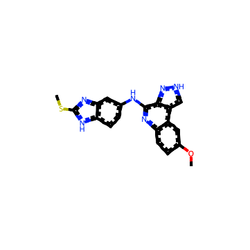 COc1ccc2nc(Nc3ccc4[nH]c(SC)nc4c3)c3n[nH]cc3c2c1